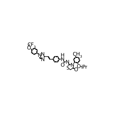 Cc1ccc(OC(C)C)c(N2C(=O)CSC2=NC(=O)Nc2ccc(C=Cc3ncn(-c4ccc(OC(F)(F)F)cc4)n3)cc2)c1